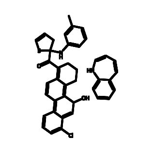 C1=CNc2ccccc2C=C1.Cc1cccc(NC2(C(=O)C3=c4ccc5c(c4CCC3)C(O)C=c3c(Cl)cccc3=5)CC=CS2)c1